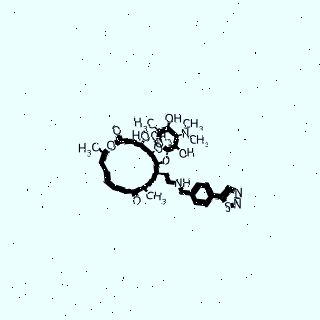 CO[C@@H]1[C@@H](O[C@@H]2O[C@H](C)[C@@H](O)[C@H](N(C)C)[C@H]2O)[C@@H](CCNCc2ccc(-c3cnns3)cc2)C[C@@H](C)C(=O)/C=C\C=C\C[C@@H](C)OC(=O)C[C@H]1O